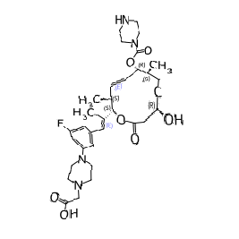 C/C(=C\c1cc(F)cc(N2CCN(CC(=O)O)CC2)c1)[C@H]1OC(=O)C[C@H](O)CC[C@H](C)[C@@H](OC(=O)N2CCNCC2)/C=C/[C@@H]1C